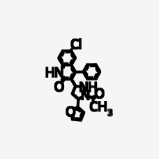 CC(=O)N1NC(c2c(-c3ccccc3)c3cc(Cl)ccc3[nH]c2=O)CC1c1ccco1